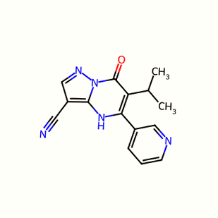 CC(C)c1c(-c2cccnc2)[nH]c2c(C#N)cnn2c1=O